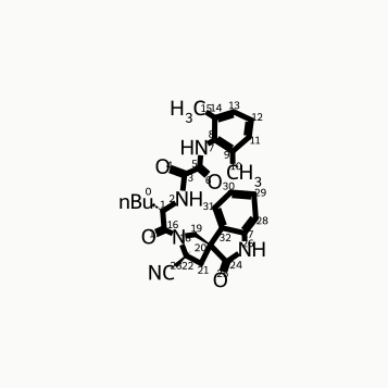 CCCC[C@H](NC(=O)C(=O)Nc1c(C)cccc1C)C(=O)N1C[C@]2(C[C@H]1C#N)C(=O)Nc1ccccc12